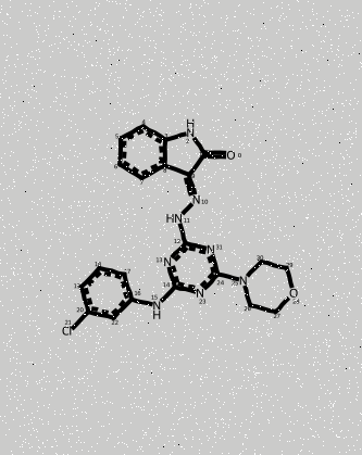 O=C1Nc2ccccc2/C1=N\Nc1nc(Nc2cccc(Cl)c2)nc(N2CCOCC2)n1